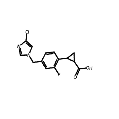 O=C(O)C1CC1c1ccc(Cn2cnc(Cl)c2)cc1F